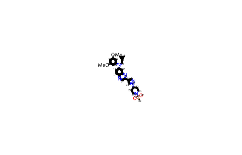 COc1cc(OC)cc(N(CC2CC2)c2ccc3ncc(-c4cnn(C5CCN(S(C)(=O)=O)CC5)c4)nc3c2)c1